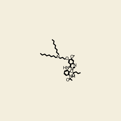 CCCCCCCCN(CCCCCCCC)CCCOc1cc2c(Nc3cccc(NC(C)=O)c3OC(=O)CCC)ncnc2cc1OC